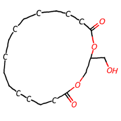 O=C1CCCCCCCCCCCCCCC(=O)OC(CO)CO1